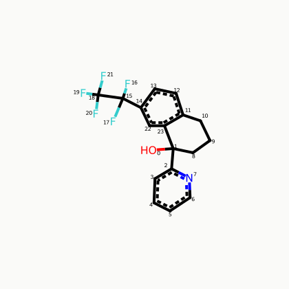 OC1(c2ccccn2)CCCc2ccc(C(F)(F)C(F)(F)F)cc21